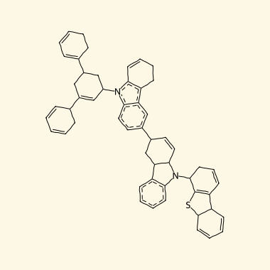 C1=CCCC(C2CC(C3C=CC=CC3)=CC(n3c4c(c5cc(C6C=CC7C(C6)c6ccccc6N7C6CC=CC7=C6SC6C=CC=CC76)ccc53)CCC=C4)C2)=C1